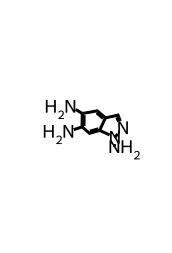 Nc1cc2cnn(N)c2cc1N